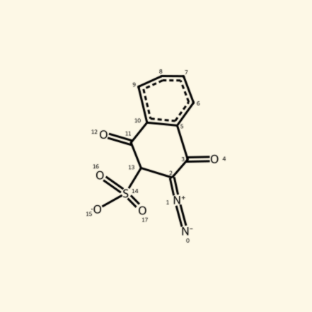 [N-]=[N+]=C1C(=O)c2ccccc2C(=O)C1S([O])(=O)=O